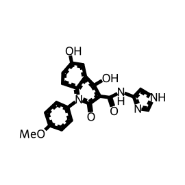 COc1ccc(-n2c(=O)c(C(=O)Nc3c[nH]cn3)c(O)c3cc(O)ccc32)cc1